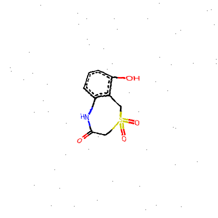 O=C1CS(=O)(=O)Cc2c(O)cccc2N1